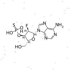 Nc1ncnc2c1ncn2[C@@H]1O[C@H](CO)[C@@H](OP(O)(O)=S)[C@H]1F